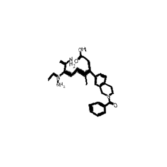 C=C(N)/C(=C\C=C(/C)C(CC(=O)O)c1ccc2c(c1)CN(C(=O)c1ccccc1)CC2)N(N)CC